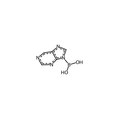 OB(O)n1cnc2cncnc21